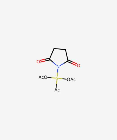 CC(=O)OS(OC(C)=O)(C(C)=O)N1C(=O)CCC1=O